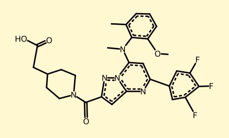 COc1cccc(C)c1N(C)c1cc(-c2cc(F)c(F)c(F)c2)nc2cc(C(=O)N3CCC(CC(=O)O)CC3)nn12